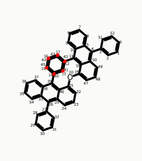 c1ccc(-c2c3ccccc3c(-c3ccccc3)c3c(Oc4cccc5c(-c6ccccc6)c6ccccc6c(-c6ccccc6)c45)cccc23)cc1